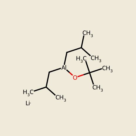 CC(C)[CH2][Al]([CH2]C(C)C)[O]C(C)(C)C.[Li]